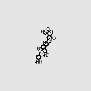 CC[C@@]1(O)C(=O)OCc2c1cc1n(c2=O)Cc2cc3c(CC(C)(C)N(C)C)c(OCc4ccc(NC)cc4)c(N(C)C)cc3nc2-1